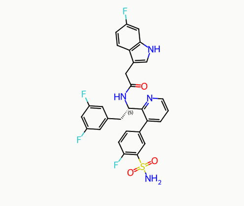 NS(=O)(=O)c1cc(-c2cccnc2[C@H](Cc2cc(F)cc(F)c2)NC(=O)Cc2c[nH]c3cc(F)ccc23)ccc1F